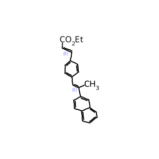 CCOC(=O)/C=C/c1ccc(/C=C(\C)c2ccc3ccccc3c2)cc1